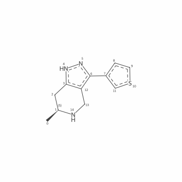 C[C@H]1Cc2[nH]nc(-c3ccsc3)c2CN1